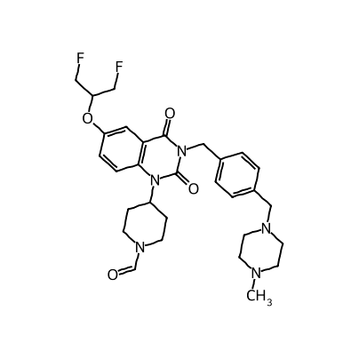 CN1CCN(Cc2ccc(Cn3c(=O)c4cc(OC(CF)CF)ccc4n(C4CCN(C=O)CC4)c3=O)cc2)CC1